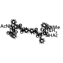 CN[C@@H](C)C(=O)N[C@H](C(=O)N1C[C@@H](NC(C)=O)C[C@H]1CN(CCc1ccccc1)C(=O)CNC(=O)c1ccc(-c2ccc(C(=O)NCC(=O)N(CCc3ccccc3)C[C@@H]3C[C@H](NC(C)=O)CN3C(=O)[C@@H](NC(=O)C(C)C)C3CCCCC3)cc2)cc1)C1CCCCC1